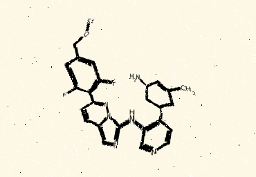 CCOCc1cc(F)c(-c2ccc3cnc(Nc4cnccc4[C@@H]4CC(C)=C[C@H](N)C4)n3n2)c(F)c1